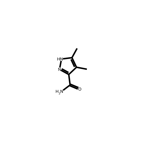 Cc1[nH]nc(C(N)=O)c1C